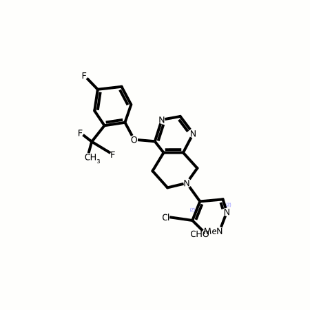 CN/N=C\C(=C(\Cl)C=O)N1CCc2c(ncnc2Oc2ccc(F)cc2C(C)(F)F)C1